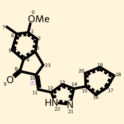 COc1cc2c(cc1C)C(=O)/C(=C/c1cc(-c3ccccc3)n[nH]1)C2